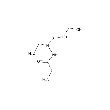 CCN(BPCO)NC(=O)CN